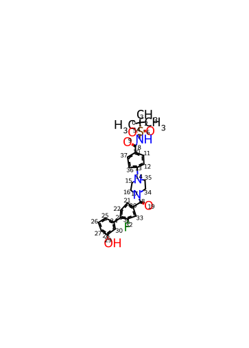 CC(C)(C)S(=O)(=O)NC(=O)c1ccc(N2CCN(C(=O)c3ccc(-c4cccc(O)c4)c(F)c3)CC2)cc1